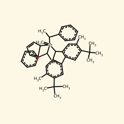 [CH2]=[Zr]([CH]1C=CC=C1)([CH](C)c1ccccc1)([CH](C)c1ccccc1)[CH]1c2cc(C)c(C(C)(C)C)cc2-c2cc(C(C)(C)C)c(C)cc21